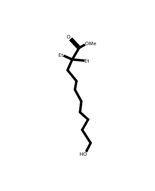 CCC(CC)(CCCCCCCCO)C(=O)OC